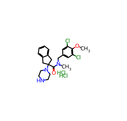 COc1c(Cl)cc(CN(C)C(=O)C2(N3CCNCC3)Cc3ccccc3C2)cc1Cl.Cl.Cl